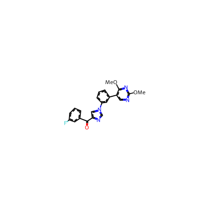 COc1ncc(-c2cccc(-n3cnc(C(=O)c4cccc(F)c4)c3)c2)c(OC)n1